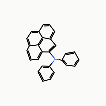 c1ccc(N(c2ccccc2)c2cc3cccc4ccc5cccc2c5c43)cc1